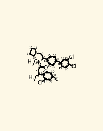 CN(CC(=O)N(C)C(CN1CCCC1)c1ccc(-c2ccc(Cl)c(Cl)c2)cc1)c1ccc(Cl)cc1Cl